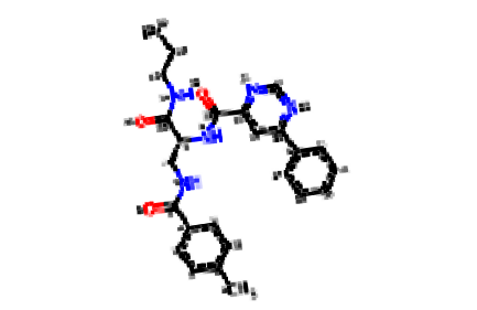 Cc1ccc(C(=O)NC[C@H](NC(=O)c2cc(-c3ccccc3)ncn2)C(=O)NCCC(C)C)cc1